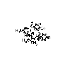 CC(C)N(CCS(=O)(=O)c1ccc(Cl)cc1)C(=O)NCCN(C)C.O=C(O)/C=C\C(=O)O